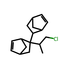 CC(CCl)C1(C2CC3C=CC2C3)CC2C=CC1C2